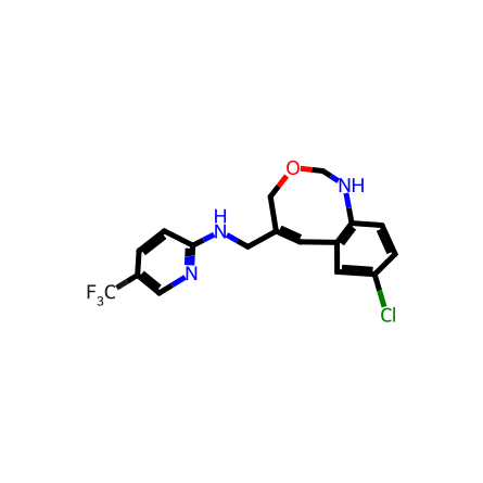 FC(F)(F)c1ccc(NC/C2=C/c3cc(Cl)ccc3NCOC2)nc1